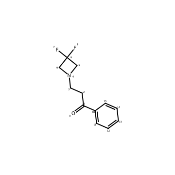 O=C(CCN1CC(F)(F)C1)c1ccccc1